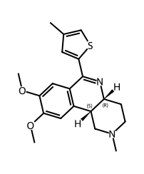 COc1cc2c(cc1OC)[C@H]1CN(C)CC[C@H]1N=C2c1cc(C)cs1